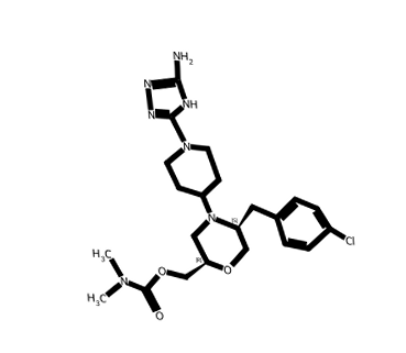 CN(C)C(=O)OC[C@H]1CN(C2CCN(c3nnc(N)[nH]3)CC2)[C@@H](Cc2ccc(Cl)cc2)CO1